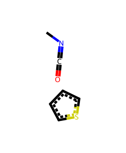 CN=C=O.c1ccsc1